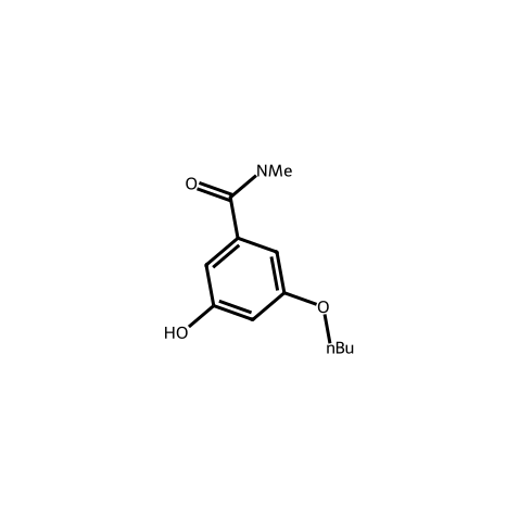 CCCCOc1cc(O)cc(C(=O)NC)c1